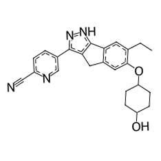 CCc1cc2c(cc1OC1CCC(O)CC1)Cc1c(-c3ccc(C#N)nc3)n[nH]c1-2